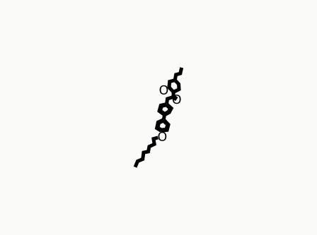 CCCCCCCCOc1ccc(-c2ccc(CC(=O)C3CCC(CCC)CC3=O)cc2)cc1